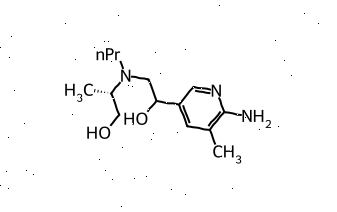 CCCN(CC(O)c1cnc(N)c(C)c1)[C@@H](C)CO